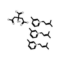 CC(C)=CC[n+]1cccc(C)c1.CC(C)=CC[n+]1cccc(C)c1.CC(C)=CC[n+]1cccc(C)c1.O=C([O-])CC(O)(CC(=O)[O-])C(=O)[O-]